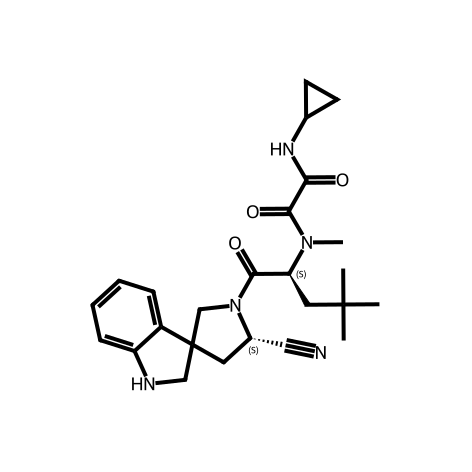 CN(C(=O)C(=O)NC1CC1)[C@@H](CC(C)(C)C)C(=O)N1CC2(CNc3ccccc32)C[C@H]1C#N